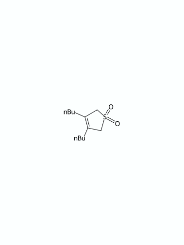 CCCCC1=C(CCCC)CS(=O)(=O)C1